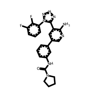 Nc1ncc(-c2cccc(NC(=O)N3CCCC3)c2)cc1-c1nnnn1-c1cccc(F)c1F